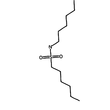 CCCCCC[N]S(=O)(=O)CCCCCC